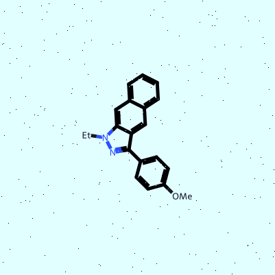 CCn1nc(-c2ccc(OC)cc2)c2cc3ccccc3cc21